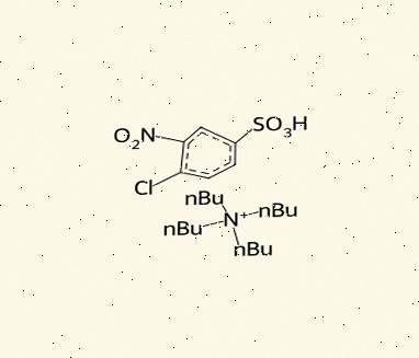 CCCC[N+](CCCC)(CCCC)CCCC.O=[N+]([O-])c1cc(S(=O)(=O)O)ccc1Cl